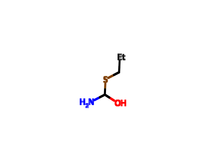 CCCSC(N)O